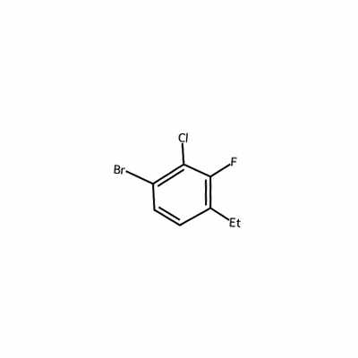 CCc1ccc(Br)c(Cl)c1F